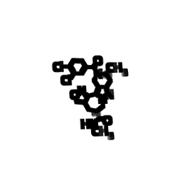 CNC(=O)[C@@H]1Cc2conc2-c2c3c(nn2C1)C[C@@H](C)N(C(=O)c1ccc(Cl)c(Cl)c1)C3